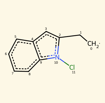 [CH2]Cc1cc2ccccc2n1Cl